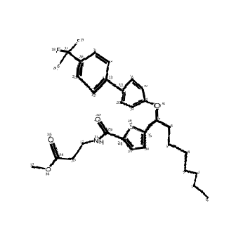 CCCCCCCC(Oc1ccc(-c2ccc(C(F)(F)F)cc2)cc1)c1ccc(C(=O)NCCC(=O)OC)s1